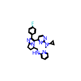 CN(c1nccc(-c2c(-c3ccc(F)cc3)nc3n2C(CNc2ccccn2)CC3)n1)C1CC1